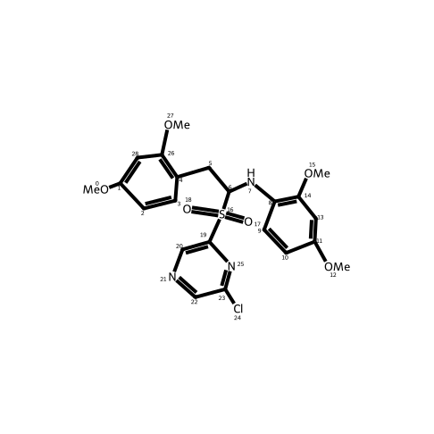 COc1ccc(CC(Nc2ccc(OC)cc2OC)S(=O)(=O)c2cncc(Cl)n2)c(OC)c1